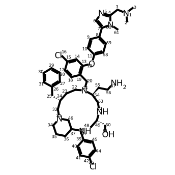 CN(C)Cc1ncc(-c2ccc(Oc3cc(Cl)ccc3CN3CC[C@@H](Cc4ccccc4)CN4CCC[C@@](Cc5ccc(Cl)cc5)(C4)NC[C@@H](CO)NC[C@@H]3CCN)cc2)n1C